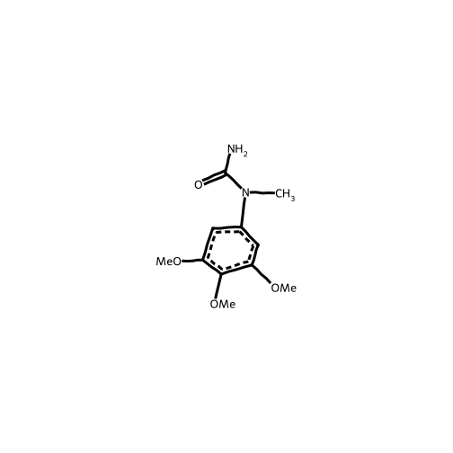 COc1cc(N(C)C(N)=O)cc(OC)c1OC